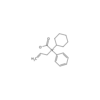 C=CC[N+](C(=O)[O-])(c1ccccc1)C1CCCCC1